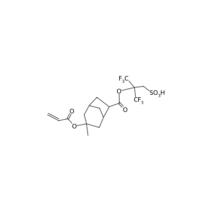 C=CC(=O)OC1(C)CC2CC(C1)C(C(=O)OC(CS(=O)(=O)O)(C(F)(F)F)C(F)(F)F)C2